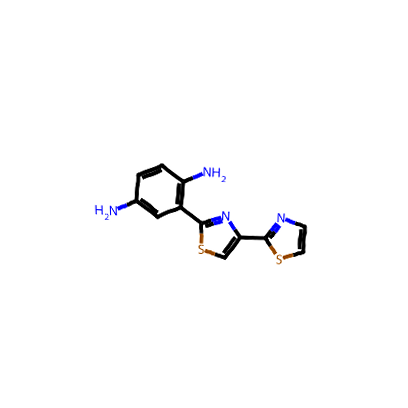 Nc1ccc(N)c(-c2nc(-c3nccs3)cs2)c1